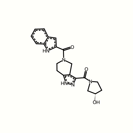 O=C(c1cc2ccccc2[nH]1)N1CCc2[nH]nc(C(=O)N3CC[C@H](O)C3)c2C1